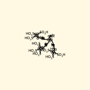 CCCNC(=O)c1cc(OCCCCc2cn(CCCNC(=O)c3cc(OCCCS(=O)(=O)O)c(OCCCS(=O)(=O)O)c(OCCCS(=O)(=O)O)c3)nn2)c(OCCCCc2cn(CCCNC(=O)c3cc(OCCCS(=O)(=O)O)c(OCCCS(=O)(=O)O)c(OCCCS(=O)(=O)O)c3)nn2)c(OCCCCc2cn(CCCNC(=O)c3cc(OCCCS(=O)(=O)O)c(OCCS(=O)(=O)O)c(OCCCS(=O)(=O)O)c3)nn2)c1